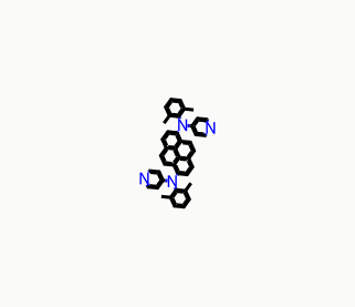 Cc1cccc(C)c1N(c1ccncc1)c1ccc2ccc3c(N(c4ccncc4)c4c(C)cccc4C)ccc4ccc1c2c43